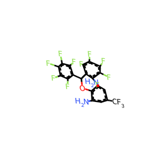 Nc1cc(C(F)(F)F)cc(N)c1OC(c1c(F)c(F)c(F)c(F)c1F)c1c(F)c(F)c(F)c(F)c1F